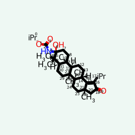 CC(C)OC(=O)N[C@]1(O)CC[C@]2(C)[C@H]3CC[C@@H]4C5=C(C(C)C)C(=O)C[C@]5(C)CC[C@@]4(C)[C@]3(C)CC[C@H]2C1(C)C